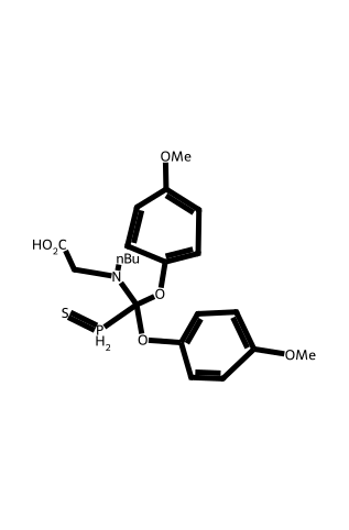 CCCCN(CC(=O)O)C(Oc1ccc(OC)cc1)(Oc1ccc(OC)cc1)[PH2]=S